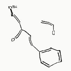 C=CCl.CCCCC=CC(=O)C=Cc1ccccc1